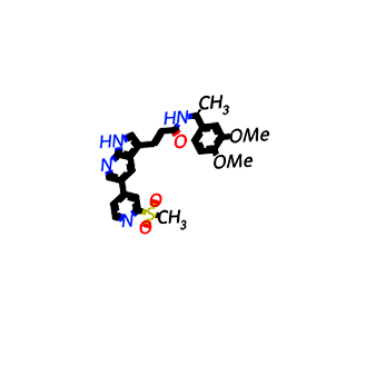 COc1ccc([C@@H](C)NC(=O)/C=C/c2c[nH]c3ncc(-c4ccnc(S(C)(=O)=O)c4)cc23)cc1OC